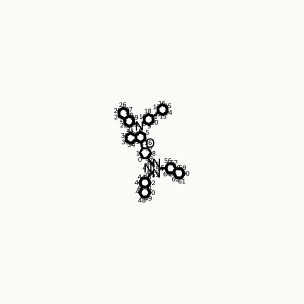 C1=CC2c3c(cc(N(c4ccc(-c5ccccc5)cc4)c4ccc5ccccc5c4)c4ccccc34)OC2C=C1c1nc(-c2ccc3ccccc3c2)nc(-c2ccc3ccccc3c2)n1